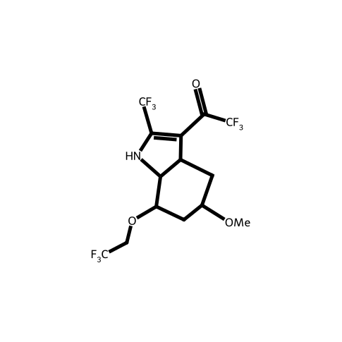 COC1CC(OCC(F)(F)F)C2NC(C(F)(F)F)=C(C(=O)C(F)(F)F)C2C1